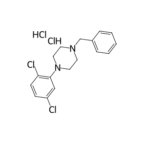 Cl.Cl.Clc1ccc(Cl)c(N2CCN(Cc3ccccc3)CC2)c1